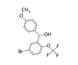 COc1ccc(C(O)c2cc(Br)ccc2OC(F)(F)F)cc1